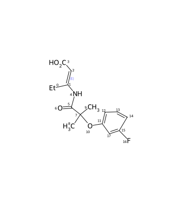 CC/C(=C\C(=O)O)NC(=O)C(C)(C)Oc1cccc(F)c1